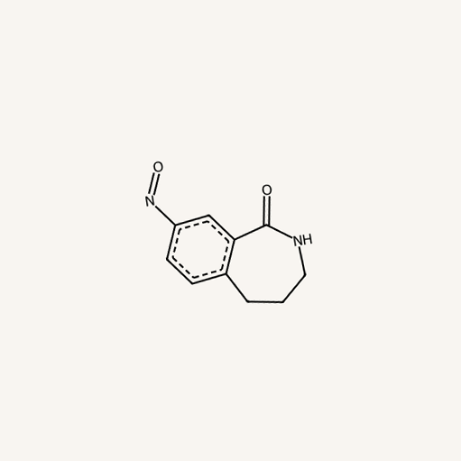 O=Nc1ccc2c(c1)C(=O)NCCC2